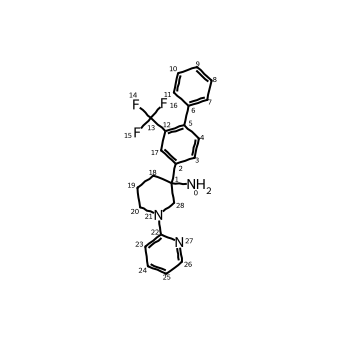 NC1(c2ccc(-c3ccccc3)c(C(F)(F)F)c2)CCCN(c2ccccn2)C1